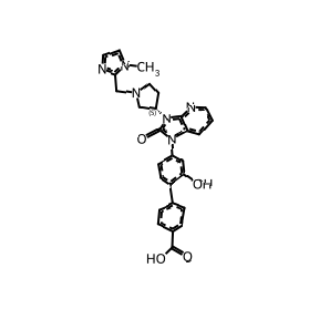 Cn1ccnc1CN1CC[C@H](n2c(=O)n(-c3ccc(-c4ccc(C(=O)O)cc4)c(O)c3)c3cccnc32)C1